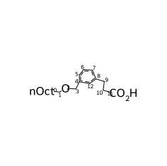 CCCCCCCCCOCc1cccc(CCC(=O)O)c1